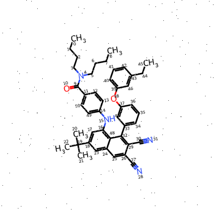 CCCCN(CCCC)C(=O)c1ccc(Nc2cc(C(C)(C)C)cc3cc(C#N)c(C#N)c(-c4cccc(Oc5cccc(CC)c5)c4)c23)cc1